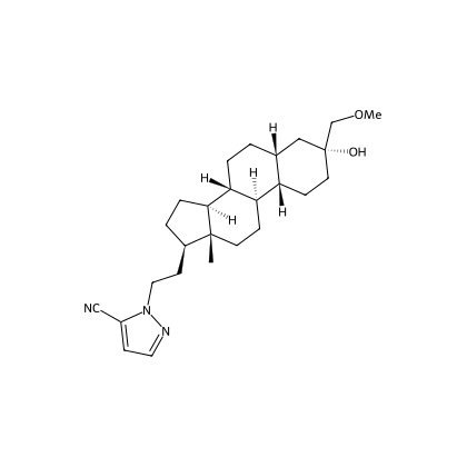 COC[C@@]1(O)CC[C@H]2[C@H](CC[C@@H]3[C@@H]2CC[C@]2(C)[C@@H](CCn4nccc4C#N)CC[C@@H]32)C1